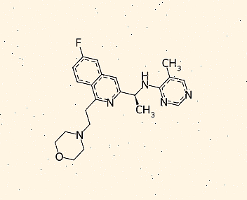 Cc1cncnc1N[C@@H](C)c1cc2cc(F)ccc2c(CCN2CCOCC2)n1